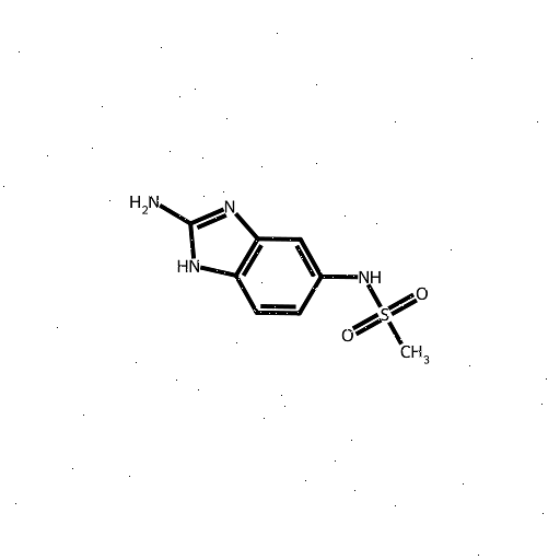 CS(=O)(=O)Nc1ccc2[nH]c(N)nc2c1